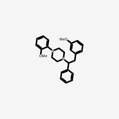 COc1cccc(CC(c2ccccc2)N2CCN(c3ccccc3OC)CC2)c1